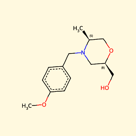 COc1ccc(CN2C[C@H](CO)OC[C@@H]2C)cc1